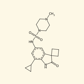 CN1CCN(S(=O)(=O)Nc2cc(C3CC3)c3c(c2)C2(CCC2)C(=O)N3)CC1